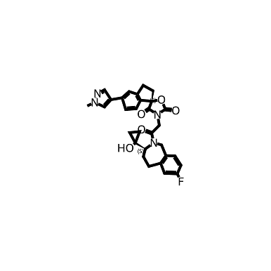 Cn1cc(-c2ccc3c(c2)CC[C@]32OC(=O)N(CC(=O)N3Cc4ccc(F)cc4CC[C@H]3C3(O)CC3)C2=O)cn1